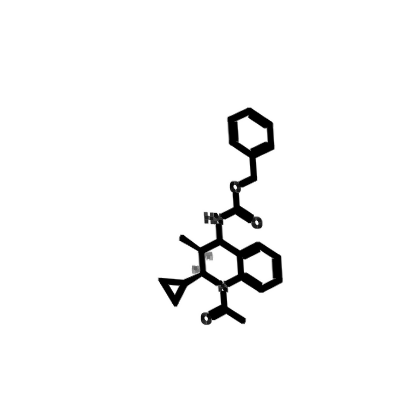 CC(=O)N1c2ccccc2C(NC(=O)OCc2ccccc2)[C@H](C)[C@@H]1C1CC1